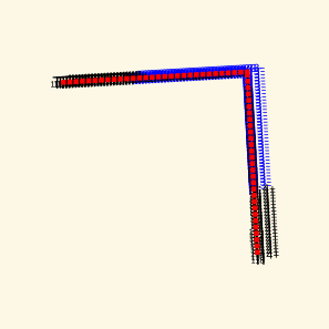 [N-3].[N-3].[N-3].[N-3].[N-3].[N-3].[N-3].[N-3].[N-3].[N-3].[N-3].[N-3].[N-3].[N-3].[N-3].[N-3].[N-3].[N-3].[N-3].[N-3].[N-3].[N-3].[N-3].[N-3].[N-3].[N-3].[N-3].[N-3].[N-3].[N-3].[N-3].[N-3].[N-3].[N-3].[N-3].[N-3].[N-3].[N-3].[N-3].[N-3].[N-3].[N-3].[N-3].[N-3].[N-3].[N-3].[N-3].[N-3].[N-3].[N-3].[N-3].[N-3].[N-3].[N-3].[N-3].[N-3].[N-3].[N-3].[N-3].[N-3].[N-3].[N-3].[N-3].[N-3].[N-3].[N-3].[N-3].[N-3].[N-3].[N-3].[N-3].[N-3].[N-3].[N-3].[N-3].[Ti+4].[Ti+4].[Ti+4].[Ti+4].[Ti+4].[Ti+4].[Ti+4].[Ti+4].[Ti+4].[Ti+4].[Ti+4].[Ti+4].[Ti+4].[Ti+4].[Ti+4].[Ti+4].[Ti+4].[Ti+4].[Ti+4].[Ti+4].[Ti+4].[Ti+4].[Ti+4].[Ti+4].[Ti+4].[Ti+4].[Ti+4].[Ti+4].[Ti+4].[Ti+4].[Ti+4].[Ti+4].[Ti+4].[Ti+4].[Ti+4].[Ti+4].[Ti+4].[Ti+4].[Ti+4].[Ti+4].[Ti+4].[Ti+4].[Ti+4].[Ti+4].[Ti+4]